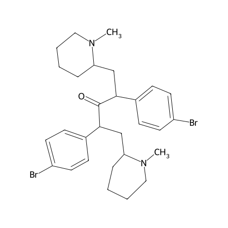 CN1CCCCC1CC(C(=O)C(CC1CCCCN1C)c1ccc(Br)cc1)c1ccc(Br)cc1